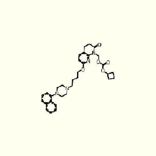 O=C(OCN1C(=O)CCc2ccc(OCCCCN3CCN(c4cccc5ccccc45)CC3)nc21)OC1CCC1